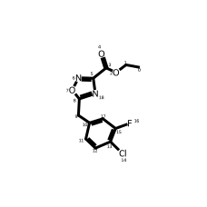 CCOC(=O)c1noc(Cc2ccc(Cl)c(F)c2)n1